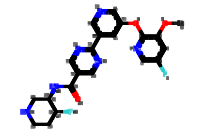 CCOc1cc(F)cnc1Oc1cncc(-c2ncc(C(=O)N[C@@H]3CNCC[C@@H]3F)cn2)c1